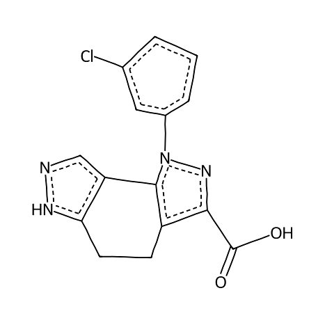 O=C(O)c1nn(-c2cccc(Cl)c2)c2c1CCc1[nH]ncc1-2